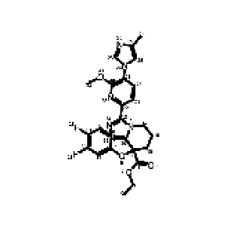 CCOC(=O)C1(Oc2ccc(F)c(F)c2)CCCn2c(-c3ccc(-n4cnc(C)c4)c(OC)n3)nnc21